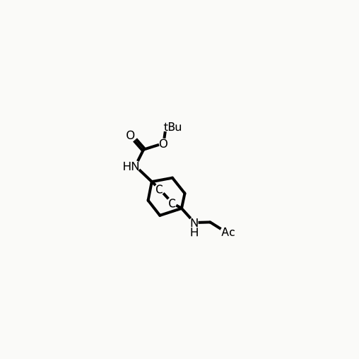 CC(=O)CNC12CCC(NC(=O)OC(C)(C)C)(CC1)CC2